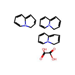 C1=CCN2C=CC=CC2=C1.C1=CCN2C=CC=CC2=C1.C1=CCN2C=CC=CC2=C1.O=C(O)C(=O)O